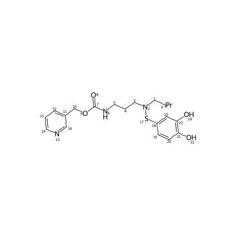 CC(C)CN(CCCNC(=O)OCc1cccnc1)Sc1ccc(O)c(O)c1